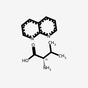 CC(C)[C@H](N)C(=O)O.c1cnc2ncccc2c1